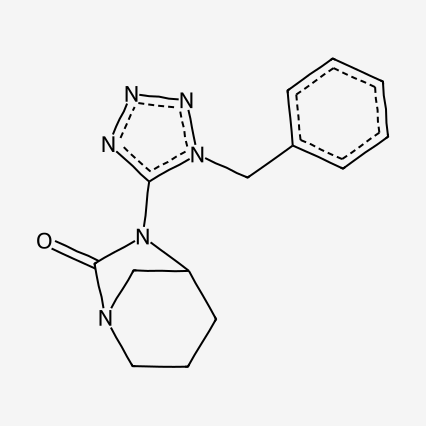 O=C1N2CCCC(C2)N1c1nnnn1Cc1ccccc1